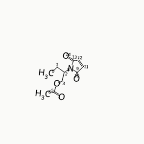 CCC(COC(C)=O)N1C(=O)C=CC1=O